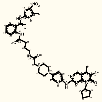 CC(=O)c1c(C)c2cnc(Nc3ccc(N4CCN(CC(=O)NCCCC(=O)Nc5ccccc5C(=O)Nc5nc(C)c([N+](=O)[O-])s5)CC4)cn3)nc2n(C2CCCC2)c1=O